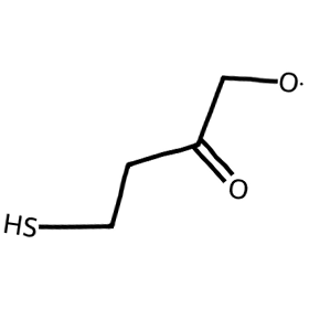 [O]CC(=O)CCS